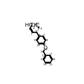 C/C=C\[C@H](CC(=O)O)c1ccc(OCc2ccccc2)cc1